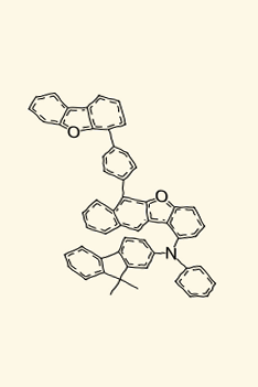 CC1(C)c2ccccc2-c2ccc(N(c3ccccc3)c3cccc4oc5c(-c6ccc(-c7cccc8c7oc7ccccc78)cc6)c6ccccc6cc5c34)cc21